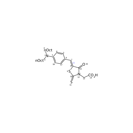 CCCCCCCCN(CCCCCCCC)c1ccc(/C=C2\SC(=S)N(CC(=O)O)C2=O)cc1